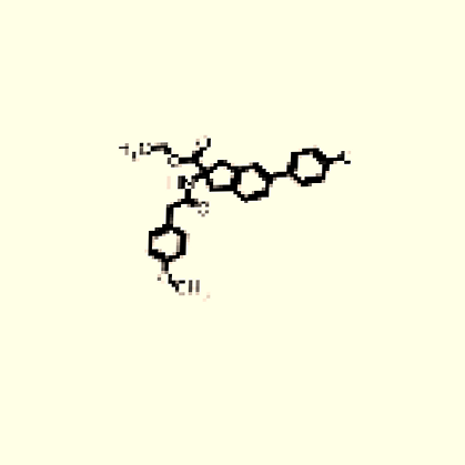 CCOC(=O)C1(NC(=O)Cc2ccc(OC)cc2)Cc2ccc(-c3ccc(Cl)cc3)cc2C1